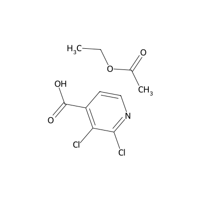 CCOC(C)=O.O=C(O)c1ccnc(Cl)c1Cl